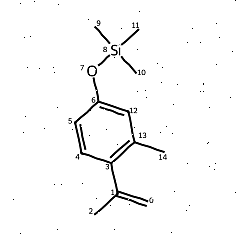 C=C(C)c1ccc(O[Si](C)(C)C)cc1C